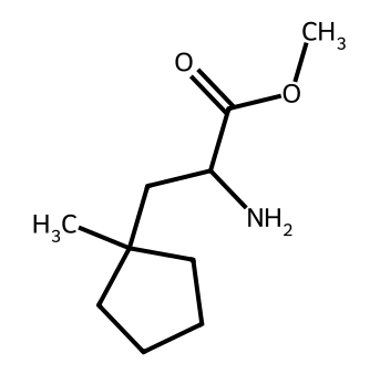 COC(=O)C(N)CC1(C)CCCC1